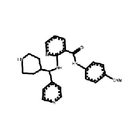 COc1ccc(NC(=O)c2cccnc2NC(c2ccncc2)C2CCNCC2)cc1